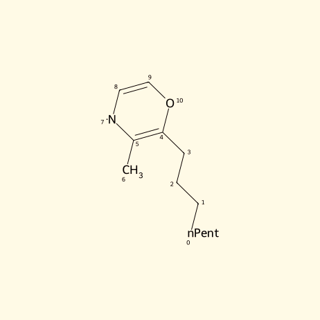 CCCCCCCCC1=C(C)[N]C=CO1